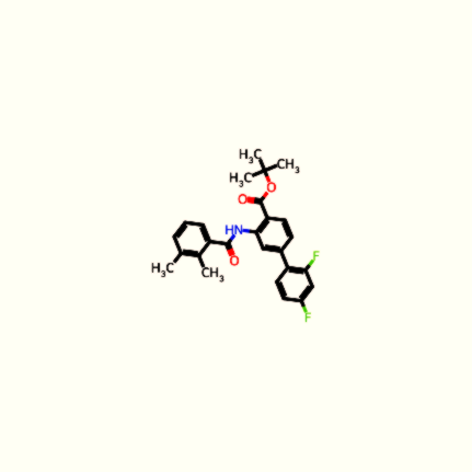 Cc1cccc(C(=O)Nc2cc(-c3ccc(F)cc3F)ccc2C(=O)OC(C)(C)C)c1C